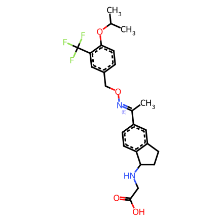 C/C(=N\OCc1ccc(OC(C)C)c(C(F)(F)F)c1)c1ccc2c(c1)CCC2NCC(=O)O